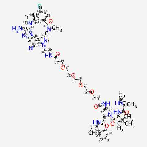 CC[C@H](NC(=O)[C@H]1C[C@@H](NC(=O)CCOCCOCCOCCOCCC(=O)NCCn2nc3c(c2C#N)-c2cnc(N)c(n2)N2CCC[C@@H]2c2cc(F)ccc2C(=O)N(C)C3)CN1C(=O)[C@H](NC(=O)[C@@H](C)NC)C(C)(C)C)c1ccccc1